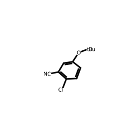 CC(C)(C)Oc1ccc(Cl)c(C#N)c1